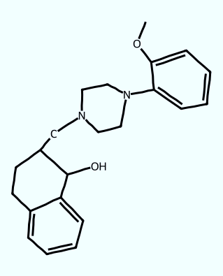 COc1ccccc1N1CCN(CC2CCc3ccccc3C2O)CC1